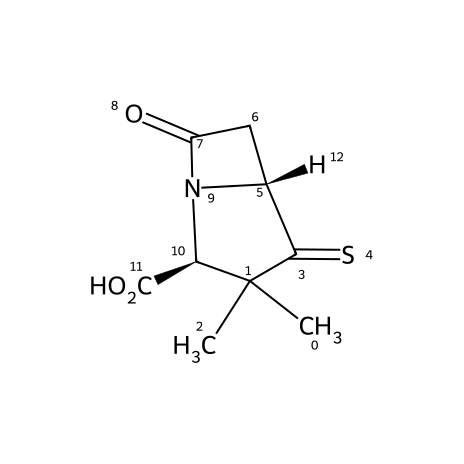 CC1(C)C(=S)[C@H]2CC(=O)N2[C@@H]1C(=O)O